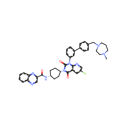 CN1CCCN(Cc2ccc(-c3cccc(-n4c(=O)n([C@H]5CC[C@@H](NC(=O)c6cnc7ccccc7n6)CC5)c(=O)c5cc(F)cnc54)c3)cc2)CC1